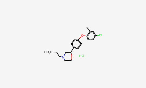 Cc1cc(Cl)ccc1Oc1ccc(C2CN(CCC(=O)O)CCO2)cc1.Cl